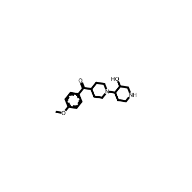 COc1ccc(C(=O)C2CCN(C3CCNCC3O)CC2)cc1